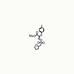 COC(=O)/C(=N/OS(=O)(=O)CC1CCCO1)Sc1ccc(C)cc1